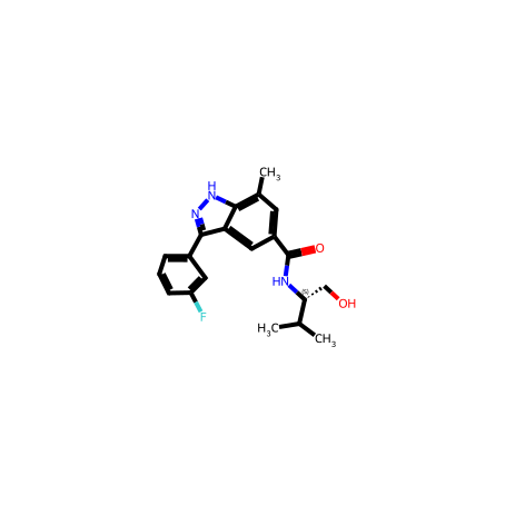 Cc1cc(C(=O)N[C@H](CO)C(C)C)cc2c(-c3cccc(F)c3)n[nH]c12